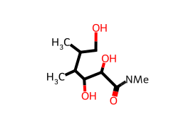 CNC(=O)C(O)C(O)C(C)C(C)CO